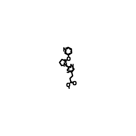 COC(=O)CCc1cnc(N2CCC[C@@H]2Oc2cccnc2)s1